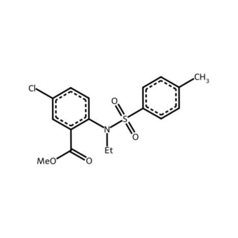 CCN(c1ccc(Cl)cc1C(=O)OC)S(=O)(=O)c1ccc(C)cc1